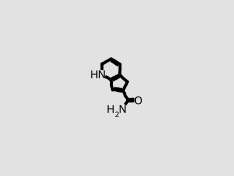 NC(=O)C1=CC2=C(C=CCN2)C1